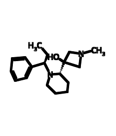 CC[C@H](c1ccccc1)N1CCCC[C@H]1C1(O)CN(C)C1